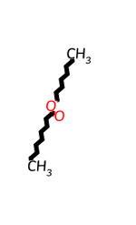 CCCCCCCCOC(=O)CCCCCCCC